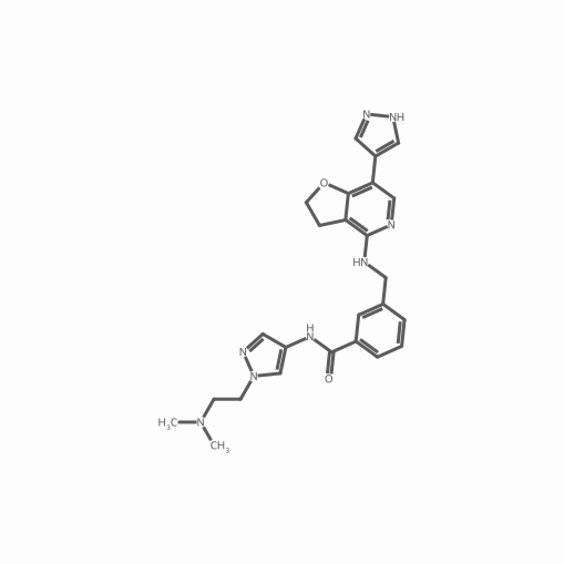 CN(C)CCn1cc(NC(=O)c2cccc(CNc3ncc(-c4cn[nH]c4)c4c3CCO4)c2)cn1